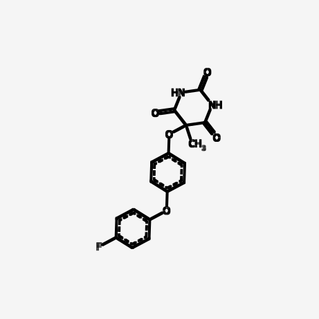 CC1(Oc2ccc(Oc3ccc(F)cc3)cc2)C(=O)NC(=O)NC1=O